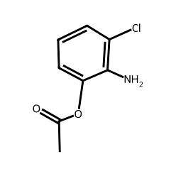 CC(=O)Oc1cccc(Cl)c1N